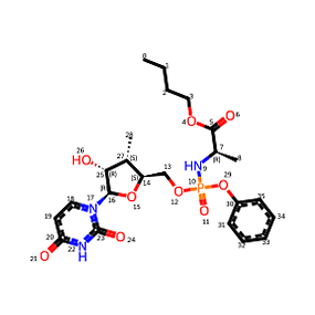 CCCCOC(=O)[C@@H](C)NP(=O)(OC[C@H]1O[C@@H](n2ccc(=O)[nH]c2=O)[C@H](O)[C@@H]1C)Oc1ccccc1